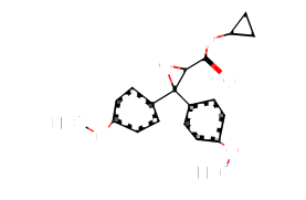 COc1ccc(C2(c3ccc(OC)cc3)OC2C(=O)OC2CC2)cc1